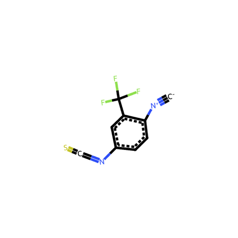 [C-]#[N+]c1ccc(N=C=S)cc1C(F)(F)F